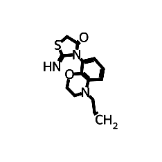 C=CCN1CCOc2c1cccc2N1C(=N)SCC1=O